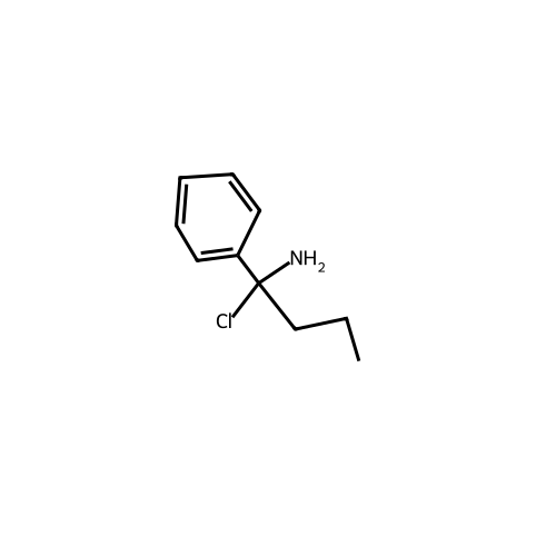 CCCC(N)(Cl)c1ccccc1